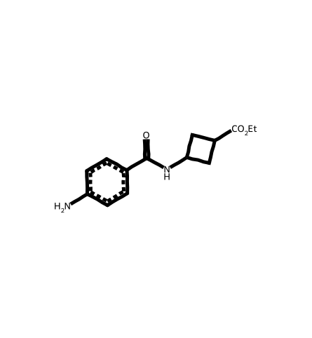 CCOC(=O)C1CC(NC(=O)c2ccc(N)cc2)C1